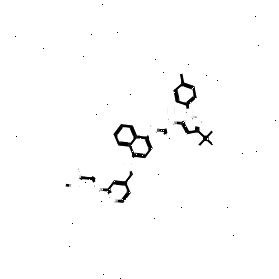 CO[C@@H](C)C(=O)Nc1cc(COc2ccc(NC(=O)Nc3cc(C(C)(C)C)nn3-c3ccc(C)cc3)c3ccccc23)ccn1